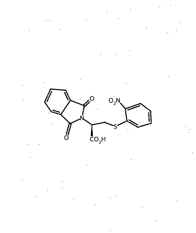 O=C(O)[C@H](CSc1ccccc1[N+](=O)[O-])N1C(=O)c2ccccc2C1=O